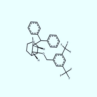 C[N+]12CCC(CC1)[C@@H](OCc1cc(C(F)(F)F)cc(C(F)(F)F)c1)[C@H]2C(c1ccccc1)c1ccccc1